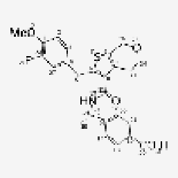 COc1ccc(Cc2sc3c(c2C(=O)N[C@@H](C)c2ccc(C(=O)O)cc2)CCOC3)cc1F